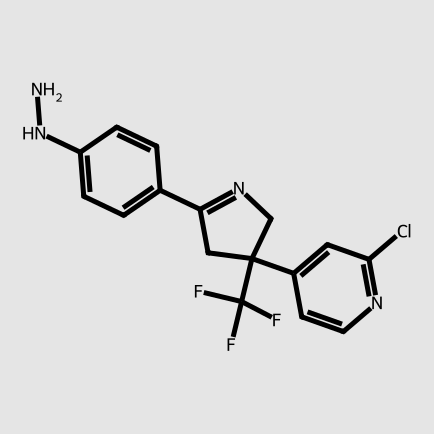 NNc1ccc(C2=NCC(c3ccnc(Cl)c3)(C(F)(F)F)C2)cc1